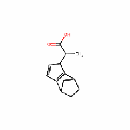 CC(C(=O)O)C1C=CC2=C1C1CCC2C1